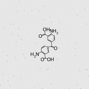 Nc1ccc(C(=O)c2ccc(N)c(C(=O)O)c2)cc1C(=O)O